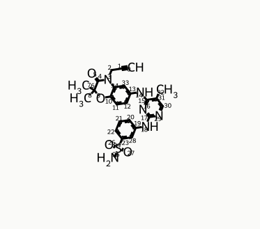 C#CCN1C(=O)C(C)(C)Oc2ccc(Nc3nc(Nc4cccc(S(N)(=O)=O)c4)ncc3C)cc21